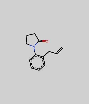 C=CCc1ccccc1N1CCCC1=O